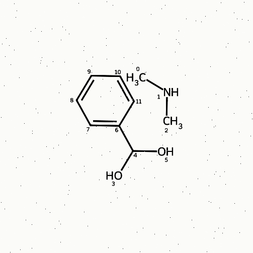 CNC.OC(O)c1ccccc1